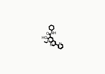 CCN1c2ncc(-c3ccccn3)cc2C=C(C(=O)NC2CCCCC2)C1O